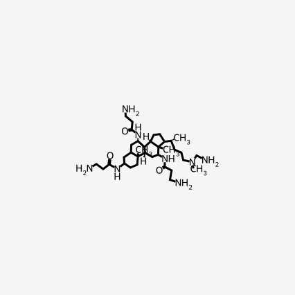 C[C@H](CCCN(C)CN)C1CC[C@H]2C3[C@H](NC(=O)CCN)CC4CC(NC(=O)CCN)CCC4(C)[C@H]3CC(NC(=O)CCN)C12C